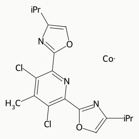 Cc1c(Cl)c(-c2nc(C(C)C)co2)nc(-c2nc(C(C)C)co2)c1Cl.[Co]